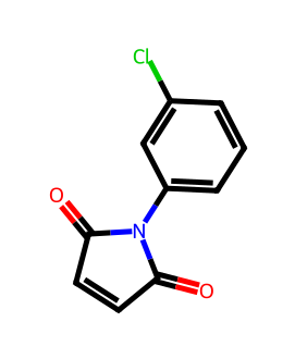 O=C1C=CC(=O)N1c1cccc(Cl)c1